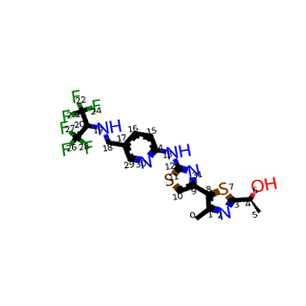 Cc1nc([C@H](C)O)sc1-c1csc(Nc2ccc(CNC(C(F)(F)F)C(F)(F)F)cn2)n1